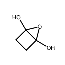 OC12CCC1(O)O2